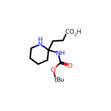 CC(C)(C)OC(=O)NC1(CCC(=O)O)CCCCN1